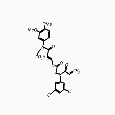 C=CC(=O)N(CC(=O)O/C=C/C(=O)N(CC(=O)O)c1ccc(OC)c(OC)c1)c1cc(Cl)cc(Cl)c1